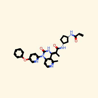 C=CC(=O)N[C@H]1CC[C@@H](NC(=O)/C(C)=C2\NC(=O)N(c3ccc(Oc4ccccc4)cn3)c3ccnc(C)c32)C1